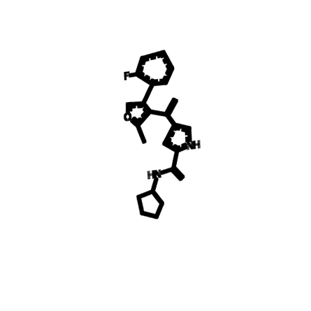 C=C(NC1CCCC1)c1cc(C(=C)c2c(-c3ccccc3F)coc2C)c[nH]1